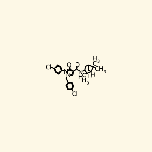 C[C@H]1C(NC(=O)c2cn(Cc3ccc(Cl)cc3)n(-c3ccc(Cl)cc3)c2=O)CC2C[C@H]1C2(C)C